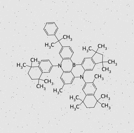 Cc1cc2c3c(c1)N(c1cc4c(cc1C)C(C)(C)CCC4(C)C)c1cc4c(cc1B3c1ccc(C(C)(C)c3ccccc3)cc1N2c1ccc2c(c1)C(C)(C)CCC2(C)C)C(C)(C)CC4(C)C